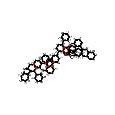 c1cc(-c2ccc3ccccc3c2)cc(N(c2ccccc2-c2ccc(-c3ccc4ccc(-c5ccccc5N(c5ccccc5-c5cccc6sc7ccccc7c56)c5cccc6oc7ccccc7c56)cc4c3)c3sc4ccccc4c23)c2cccc3oc4ccccc4c23)c1